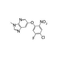 Cn1cnc2cc(Oc3cc(F)c(Cl)cc3[N+](=O)[O-])cnc21